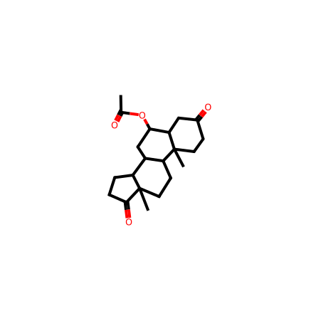 CC(=O)OC1CC2C3CCC(=O)C3(C)CCC2C2(C)CCC(=O)CC12